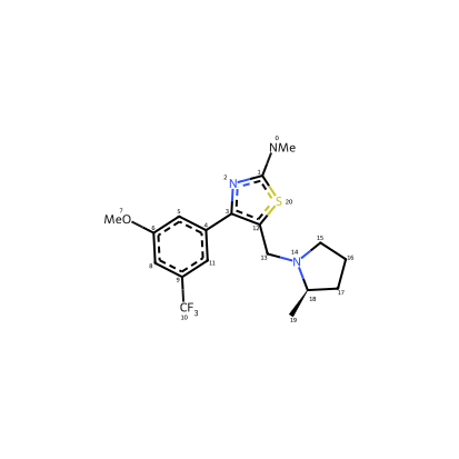 CNc1nc(-c2cc(OC)cc(C(F)(F)F)c2)c(CN2CCC[C@H]2C)s1